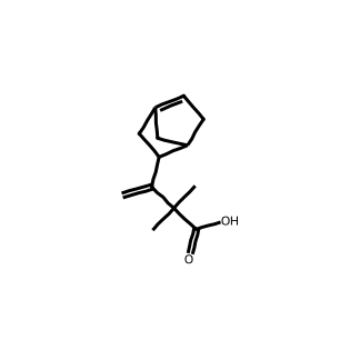 C=C(C1CC2=CCC1C2)C(C)(C)C(=O)O